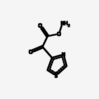 NOC(=O)C(=O)c1cscn1